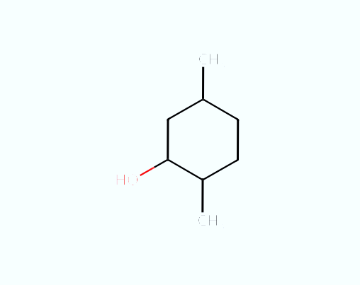 CC1[CH]CC(C)C(O)C1